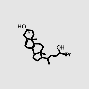 CC(C)C(O)CCC(C)C1CCC2C3=C(CCC21C)C1(C)CC[C@H](O)CC1=CC3